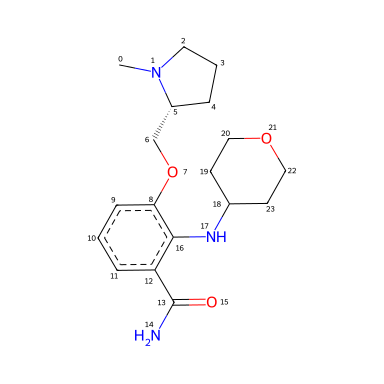 CN1CCC[C@@H]1COc1cccc(C(N)=O)c1NC1CCOCC1